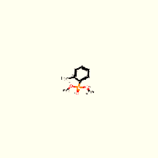 Cc1ccccc1P(=O)(OC(C)C)OC(C)C